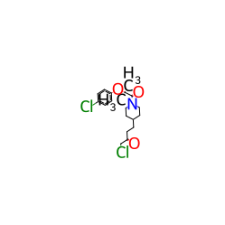 CC(C)(Oc1ccc(Cl)cc1)C(=O)N1CCC(CCC(=O)CCl)CC1